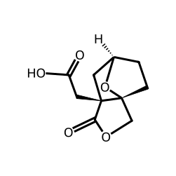 O=C(O)C[C@@]12C[C@H]3CC[C@]1(COC2=O)O3